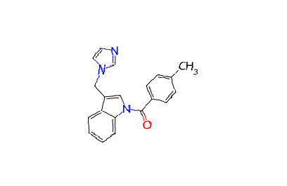 Cc1ccc(C(=O)n2cc(Cn3ccnc3)c3ccccc32)cc1